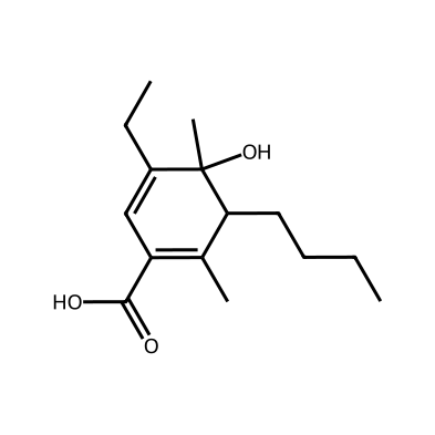 CCCCC1C(C)=C(C(=O)O)C=C(CC)C1(C)O